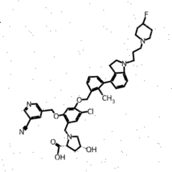 Cc1c(COc2cc(OCc3cncc(C#N)c3)c(CN3C[C@H](O)C[C@@H]3C(=O)O)cc2Cl)cccc1-c1cccc2c1CCN2CCCN1CCC(F)CC1